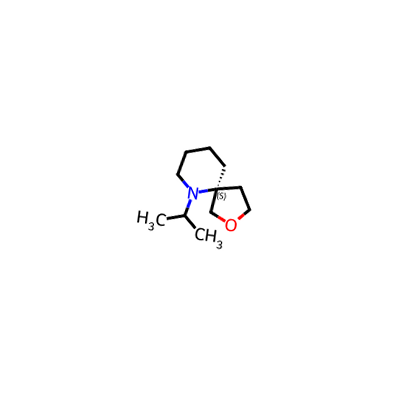 CC(C)N1CCCC[C@@]12CCOC2